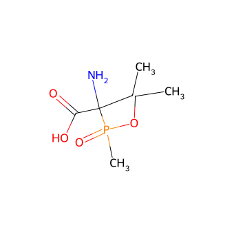 CCOP(C)(=O)C(N)(CC)C(=O)O